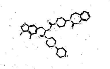 Cc1cc(C[C@@H](OC(=O)N2CCC(N3CCc4ccccc4NC3=O)CC2)C(=O)N2CCN(C3CCNCC3)CC2)cc2ncn(C)c12